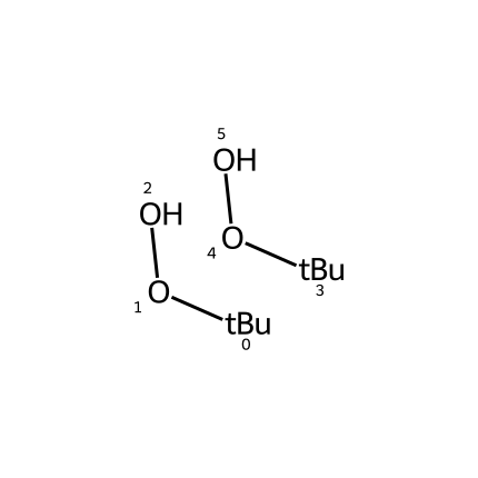 CC(C)(C)OO.CC(C)(C)OO